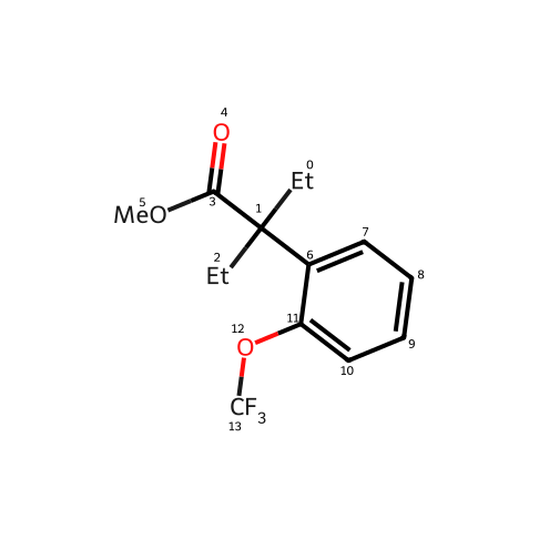 CCC(CC)(C(=O)OC)c1ccccc1OC(F)(F)F